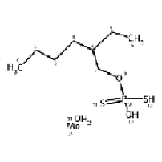 CCCCC(CC)COP(O)(=S)S.O.[Mo]